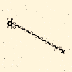 CC(C)(C)CCNC(=O)CCOCCOCCOCCOCCOCCOCCOCCC(=O)Oc1c(F)c(F)cc(F)c1F